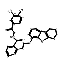 O=C(CNC(=O)c1ccccc1CCOc1cccc2c3c(oc12)CCCC3)c1ccc(Cl)c([N+](=O)[O-])c1